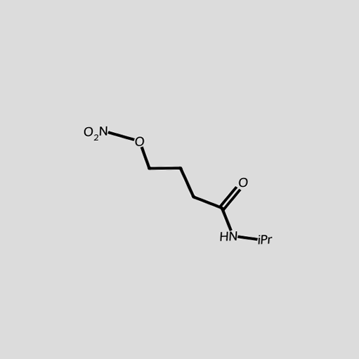 CC(C)NC(=O)CCCO[N+](=O)[O-]